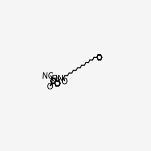 N#Cc1cc(=O)c2cccc(NC(=O)CCCCCCCCCCCCCCCc3ccccc3)c2o1